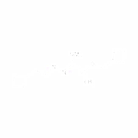 CO/C(=N\N=C\CC1CCC1)[C@@H](C)OCC1CCC1